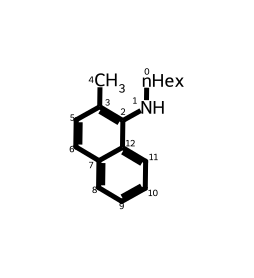 CCCCCCNc1c(C)ccc2ccccc12